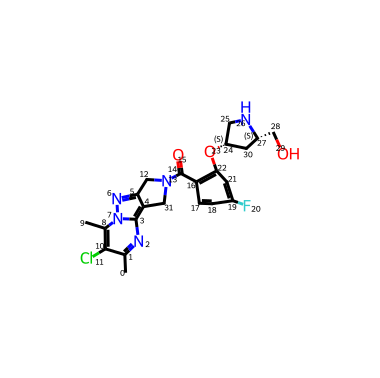 Cc1nc2c3c(nn2c(C)c1Cl)CN(C(=O)c1ccc(F)cc1O[C@@H]1CN[C@H](CO)C1)C3